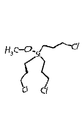 CO[Si](CCCCl)(CCCCl)CCCCl